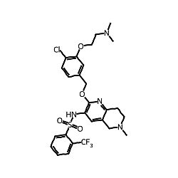 CN(C)CCOc1cc(COc2nc3c(cc2NS(=O)(=O)c2ccccc2C(F)(F)F)CN(C)CC3)ccc1Cl